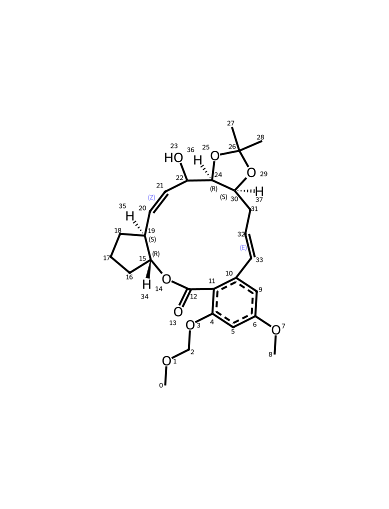 COCOc1cc(OC)cc2c1C(=O)O[C@@H]1CCC[C@H]1/C=C\C(O)[C@H]1OC(C)(C)O[C@H]1C/C=C/2